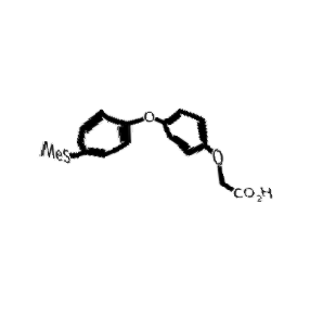 CSc1ccc(Oc2ccc(OCC(=O)O)cc2)cc1